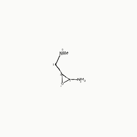 CNCC1OC1N